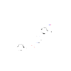 O=Cc1cc(N2CCN(C(=O)OCc3ccccc3)CC2)ccc1[N+](=O)[O-]